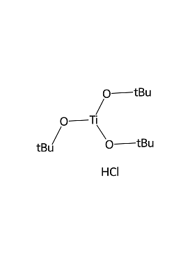 CC(C)(C)[O][Ti]([O]C(C)(C)C)[O]C(C)(C)C.Cl